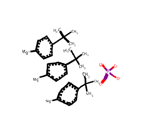 CC(C)(C)c1cc[c]([Mg+])cc1.CC(C)(C)c1cc[c]([Mg+])cc1.CC(C)(C)c1cc[c]([Mg+])cc1.O=P([O-])([O-])[O-]